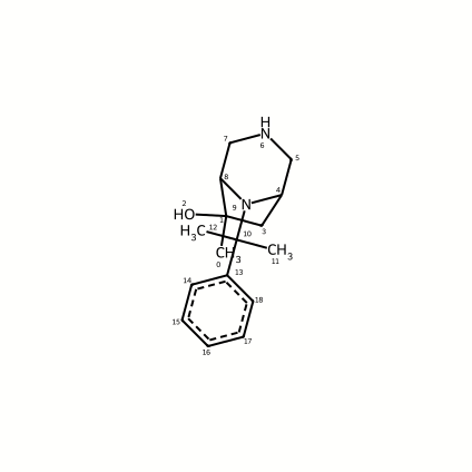 CC1(O)CC2CNCC1N2C(C)(C)c1ccccc1